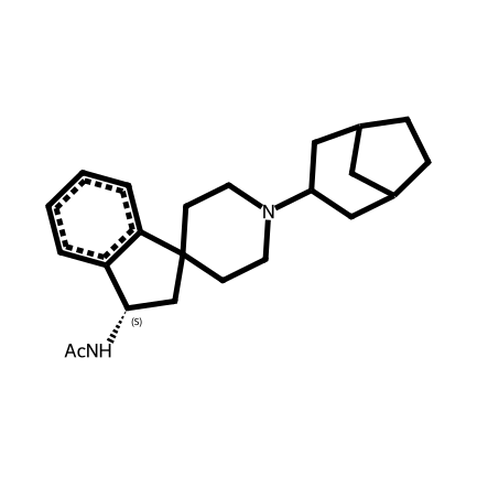 CC(=O)N[C@H]1CC2(CCN(C3CC4CCC(C4)C3)CC2)c2ccccc21